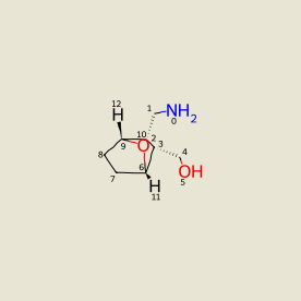 NC[C@@H]1[C@H](CO)[C@@H]2CC[C@H]1O2